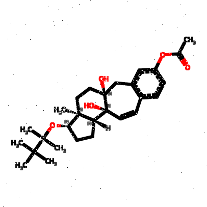 CC(=O)Oc1ccc2c(c1)C[C@@]1(O)CC[C@]3(C)[C@@H](O[Si](C)(C)C(C)(C)C)CC[C@H]3[C@@]1(O)C=C2